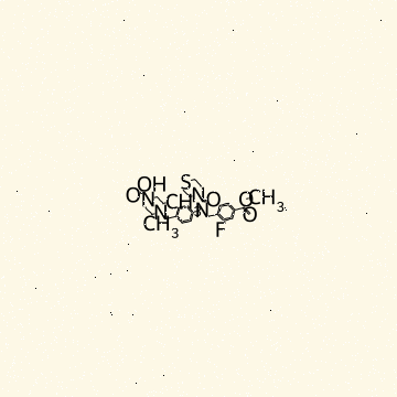 COC(=O)c1ccc(CN(C(=O)N2CCSCC2)c2ccc(CN3[C@H](C)CN(C(=O)O)C[C@@H]3C)cc2)c(F)c1